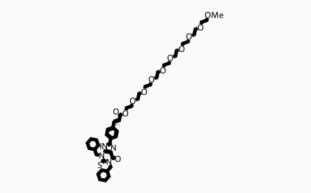 COCCOCCOCCOCCOCCOCCOCCOCCOCCOC(=O)/C=C/c1ccc(-c2nc3c(=O)n(CC4CCCCC4)c(=S)n(CC4CCCCC4)c3[nH]2)cc1